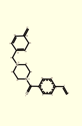 C=Cc1ccc(C(=O)N2CCN(CC3=CCC(=C)C=C3)CC2)cc1